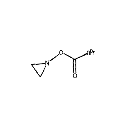 CCCC(=O)ON1CC1